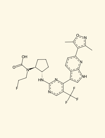 Cc1noc(C)c1-c1ccc2c(-c3nc(N[C@H]4CCC[C@@H]4N(CCF)C(=O)O)ncc3C(F)(F)F)c[nH]c2n1